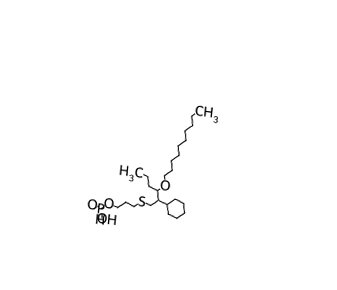 CCCCCCCCCCOC(CCC)C(CSCCCO[PH](=O)O)C1CCCCC1